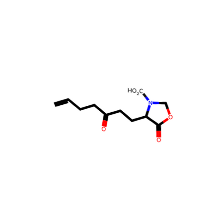 C=CCCC(=O)CCC1C(=O)OCN1C(=O)O